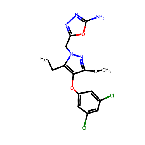 CCc1nn(Cc2nnc(N)o2)c(CC)c1Oc1cc(Cl)cc(Cl)c1